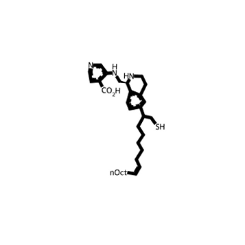 CCCCCCCC/C=C\CCCCCC(CS)c1ccc2c(c1)CCN[C@@H]2CNc1cnccc1C(=O)O